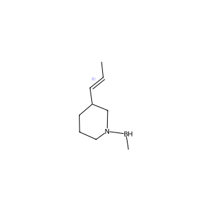 CBN1CCCC(/C=C/C)C1